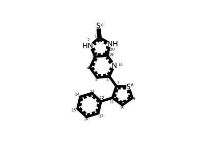 S=c1[nH]c2ccc(-c3sccc3-c3ccccc3)nc2[nH]1